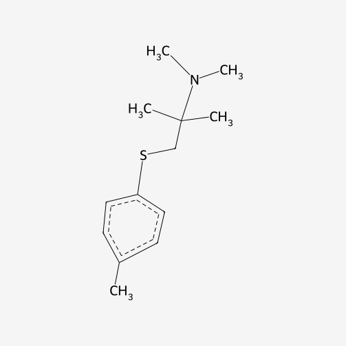 Cc1ccc(SCC(C)(C)N(C)C)cc1